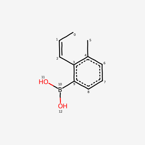 C/C=C\c1c(C)cccc1B(O)O